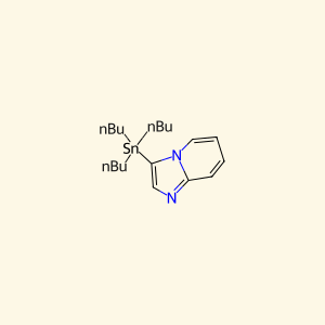 CCC[CH2][Sn]([CH2]CCC)([CH2]CCC)[c]1cnc2ccccn12